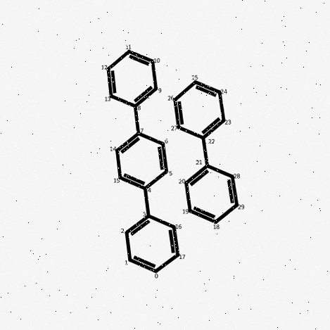 c1ccc(-c2ccc(-c3ccccc3)cc2)cc1.c1ccc(-c2ccccc2)cc1